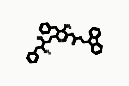 NC(Cc1ccccc1)C(O)CCC(O)C(Cc1ccccc1)N(N)C(=O)OC(=O)OCC1c2ccccc2-c2ccccc21